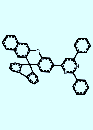 c1ccc(-c2cc(-c3ccc4c(c3)Oc3cc5ccccc5cc3C43c4ccccc4-c4ccccc43)nc(-c3ccccc3)n2)cc1